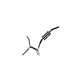 CC#CNN(C)C